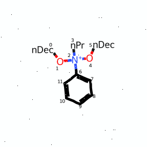 CCCCCCCCCCO[N+](CCC)(OCCCCCCCCCC)c1ccccc1